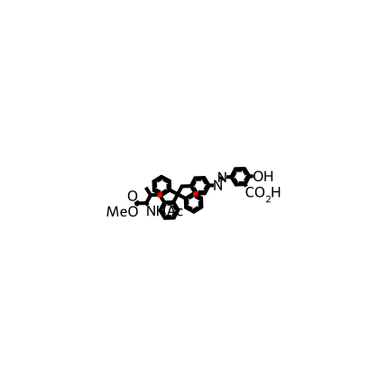 COC(=O)C(NC(C)=O)C(C)Cc1ccccc1C(Cc1ccc(N=Nc2ccc(O)c(C(=O)O)c2)cc1)(c1ccccc1)c1ccccc1